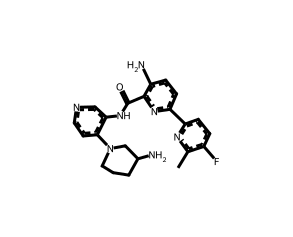 Cc1nc(-c2ccc(N)c(C(=O)Nc3cnccc3N3CCCC(N)C3)n2)ccc1F